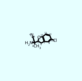 CC(N)(C#N)C1Cc2cc(Cl)ccc2O1